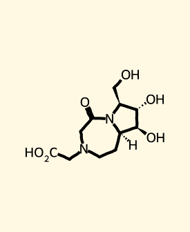 O=C(O)CN1CC[C@@H]2[C@H](O)[C@@H](O)[C@H](CO)N2C(=O)C1